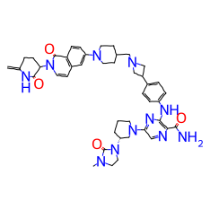 C=C1CCC(n2ccc3cc(N4CCC(CN5CC(c6ccc(Nc7nc(N8CCC[C@@H](N9CCN(C)C9=O)C8)cnc7C(N)=O)cc6)C5)CC4)ccc3c2=O)C(=O)N1